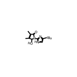 CC1=C(C)C(O)N(c2nc(C(C)(C)C)c[nH]2)C1=O